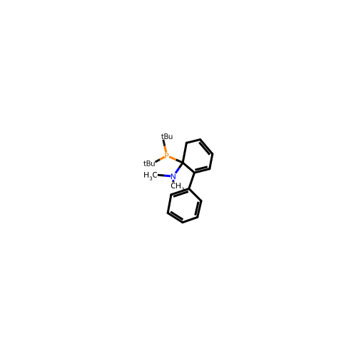 CN(C)C1(P(C(C)(C)C)C(C)(C)C)CC=CC=C1c1ccccc1